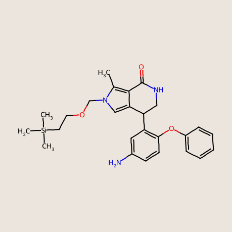 Cc1c2c(cn1COCC[Si](C)(C)C)C(c1cc(N)ccc1Oc1ccccc1)CNC2=O